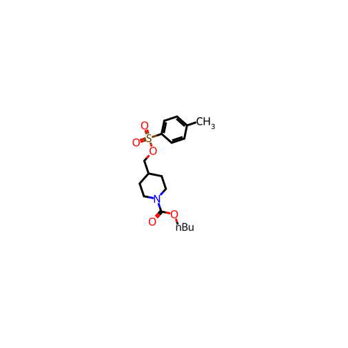 CCCCOC(=O)N1CCC(COS(=O)(=O)c2ccc(C)cc2)CC1